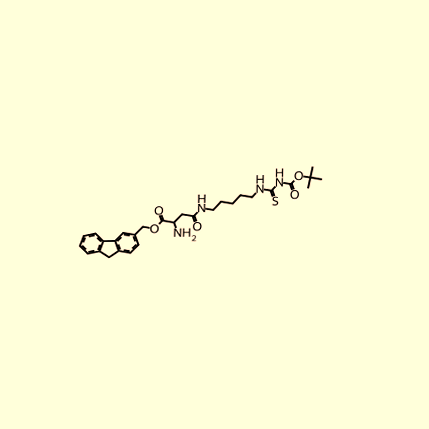 CC(C)(C)OC(=O)NC(=S)NCCCCCNC(=O)CC(N)C(=O)OCc1ccc2c(c1)-c1ccccc1C2